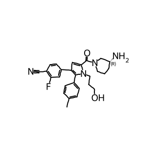 Cc1ccc(-c2c(-c3ccc(C#N)c(F)c3)cc(C(=O)N3CCC[C@@H](N)C3)n2CCCO)cc1